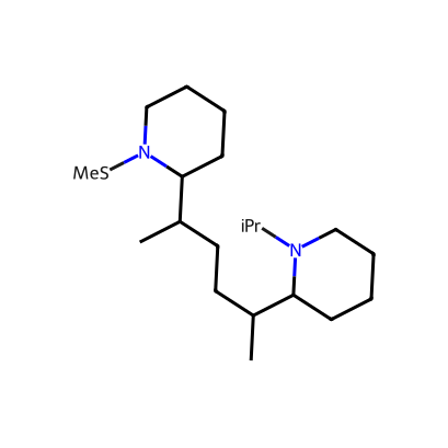 CSN1CCCCC1C(C)CCC(C)C1CCCCN1C(C)C